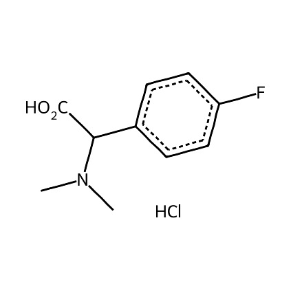 CN(C)C(C(=O)O)c1ccc(F)cc1.Cl